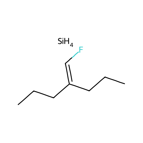 CCCC(=CF)CCC.[SiH4]